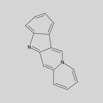 c1ccc2c3cn4ccccc4cc-3nc2c1